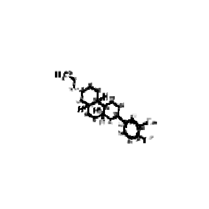 CCC[C@@H]1CC[C@H]2[C@H](CC[C@H]3CC(c4ccc(F)c(F)c4)CC[C@@H]32)C1